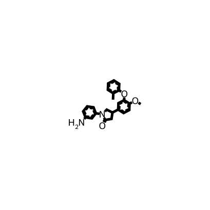 COc1ccc(C2CC(=O)N(c3cccc(N)c3)C2)cc1Oc1ccccc1C